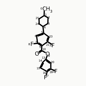 CC1CCC(c2cc(F)c(C(=O)Oc3ccc(F)c(F)c3)c(F)c2)CC1